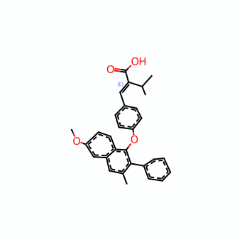 COc1ccc2c(Oc3ccc(/C=C(/C(=O)O)C(C)C)cc3)c(-c3ccccc3)c(C)cc2c1